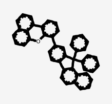 c1ccc(C2(c3ccccc3)c3cc(-c4cccc5c4Oc4cccc6cccc-5c46)ccc3-c3ccc4ccccc4c32)cc1